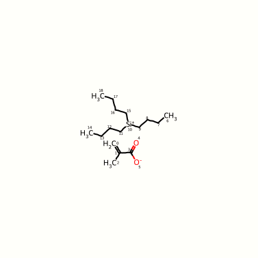 C=C(C)C(=O)[O-].CCCC[Si+](CCCC)CCCC